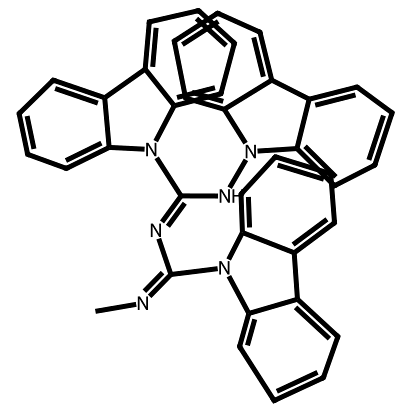 C/N=C(\N=C(/Nn1c2ccccc2c2ccccc21)n1c2ccccc2c2ccccc21)n1c2ccccc2c2ccccc21